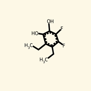 CCc1c(O)c(O)c(F)c(F)c1CC